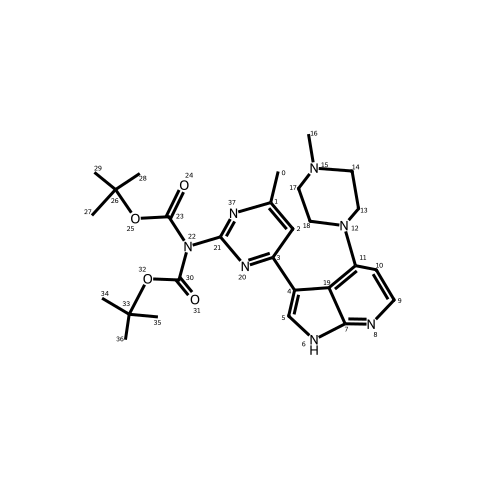 Cc1cc(-c2c[nH]c3nccc(N4CCN(C)CC4)c23)nc(N(C(=O)OC(C)(C)C)C(=O)OC(C)(C)C)n1